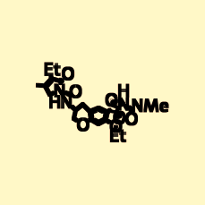 CCOc1cc2c(cc1S(=O)(=O)NC(=O)NC)CC(NC(=O)N1CC(C)=C(CC)C1=O)CO2